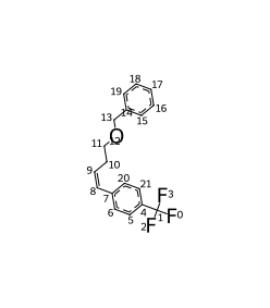 FC(F)(F)c1ccc(/C=C\CCOCc2ccccc2)cc1